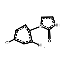 Nc1cc(Cl)ccc1-n1cc[nH]c1=O